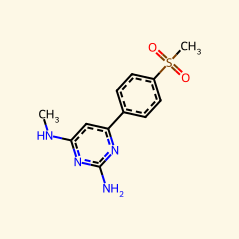 CNc1cc(-c2ccc(S(C)(=O)=O)cc2)nc(N)n1